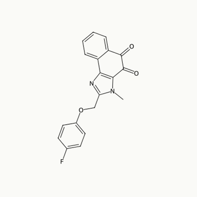 Cn1c(COc2ccc(F)cc2)nc2c1C(=O)C(=O)c1ccccc1-2